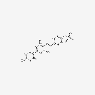 O=S(=O)(F)Oc1ccc(OCc2c(F)cc(-c3cnc(O)cn3)cc2F)cc1